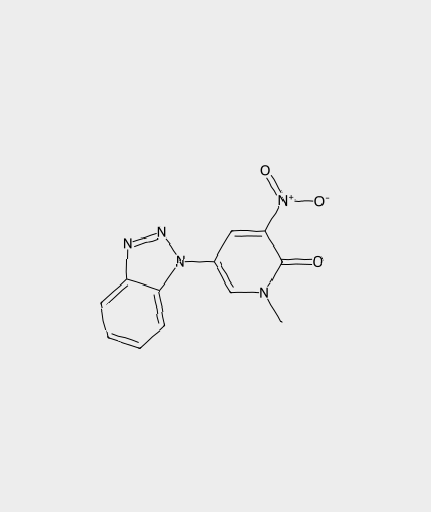 Cn1cc(-n2nnc3ccccc32)cc([N+](=O)[O-])c1=O